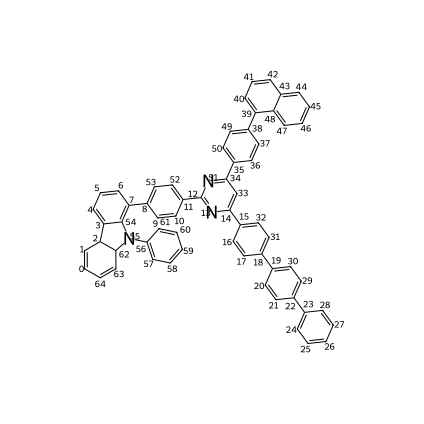 C1=CC2c3cccc(-c4ccc(-c5nc(-c6ccc(-c7ccc(-c8ccccc8)cc7)cc6)cc(-c6ccc(-c7cccc8ccccc78)cc6)n5)cc4)c3N(c3ccccc3)C2C=C1